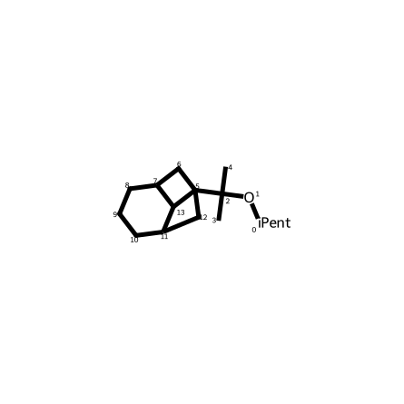 CCCC(C)OC(C)(C)C12CC3CCCC(C1)C32